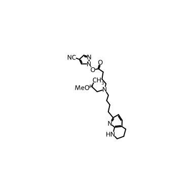 CO[C@H](C)CN(CCCCc1ccc2c(n1)NCCC2)CCCC(=O)On1cc(C#N)cn1